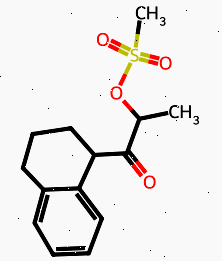 CC(OS(C)(=O)=O)C(=O)C1CCCc2ccccc21